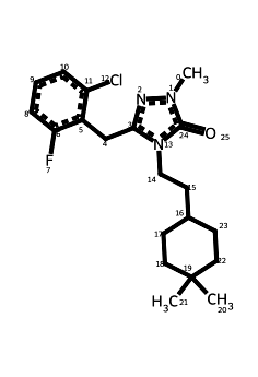 Cn1nc(Cc2c(F)cccc2Cl)n(CCC2CCC(C)(C)CC2)c1=O